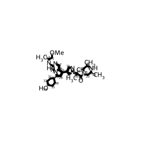 COC[C@H](C)Nc1ncc2c(-c3cnn(C(C)(C)C(=O)N4C[C@@H](C)N[C@@H](C)C4)c3)cc([C@H]3CC[C@@H](O)CC3)n2n1